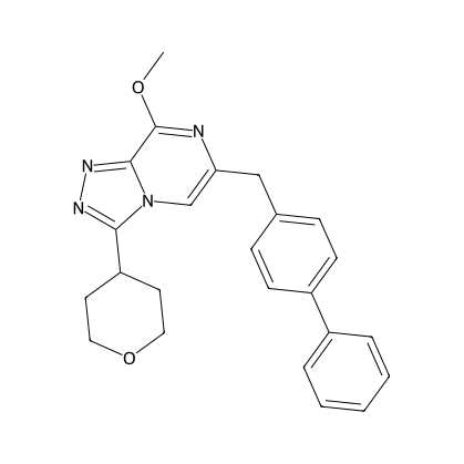 COc1nc(Cc2ccc(-c3ccccc3)cc2)cn2c(C3CCOCC3)nnc12